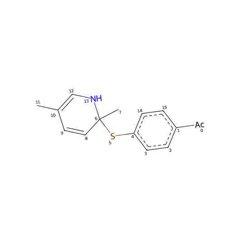 CC(=O)c1ccc(SC2(C)C=CC(C)=CN2)cc1